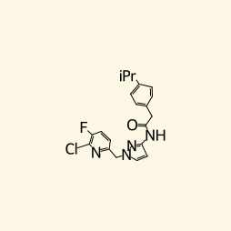 CC(C)c1ccc(CC(=O)Nc2ccn(Cc3ccc(F)c(Cl)n3)n2)cc1